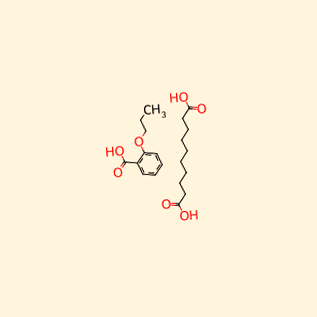 CCCOc1ccccc1C(=O)O.O=C(O)CCCCCCCCC(=O)O